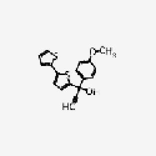 C#CC(O)(c1ccc(OC)cc1)c1ccc(-c2cccs2)s1